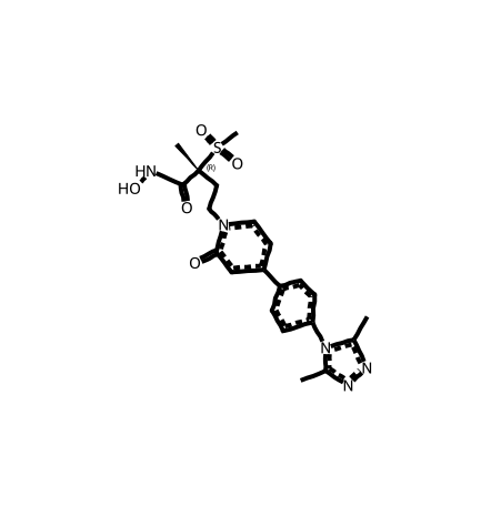 Cc1nnc(C)n1-c1ccc(-c2ccn(CC[C@](C)(C(=O)NO)S(C)(=O)=O)c(=O)c2)cc1